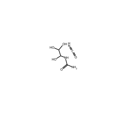 N=C=O.NC(=O)NC(O)C(O)O